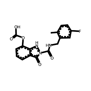 Cc1ccc(F)cc1CNC(=O)n1[nH]c2c(OC(=O)O)cccc2c1=O